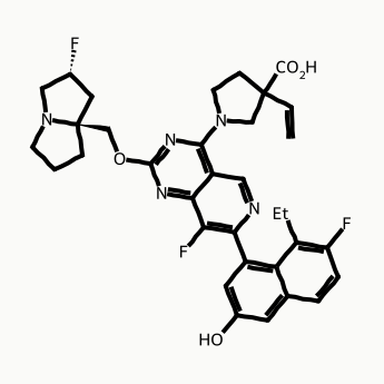 C=CC1(C(=O)O)CCN(c2nc(OC[C@@]34CCCN3C[C@H](F)C4)nc3c(F)c(-c4cc(O)cc5ccc(F)c(CC)c45)ncc23)C1